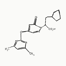 Cc1cc(C)nc(Oc2cnn(C(CC3CCCC3)C(=O)O)c(=O)c2)n1